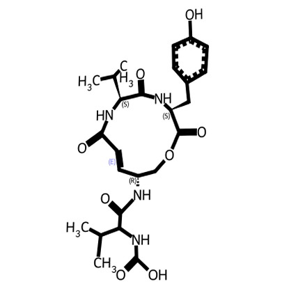 CC(C)C(NC(=O)O)C(=O)N[C@@H]1/C=C/C(=O)N[C@@H](C(C)C)C(=O)N[C@@H](Cc2ccc(O)cc2)C(=O)OC1